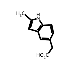 Cc1cc2cc(CC(=O)O)ccc2[nH]1